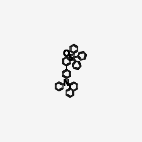 c1ccc(N(c2ccc(-c3ccc4c(c3)[Si](c3ccccc3)(c3ccccc3)c3ccccc3O4)cc2)c2cccc3ccccc23)cc1